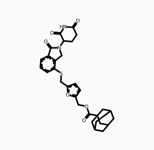 O=C1CCC(N2Cc3c(SCc4ccc(COC(=O)C56CC7CC(CC(C7)C5)C6)o4)cccc3C2=O)C(=O)N1